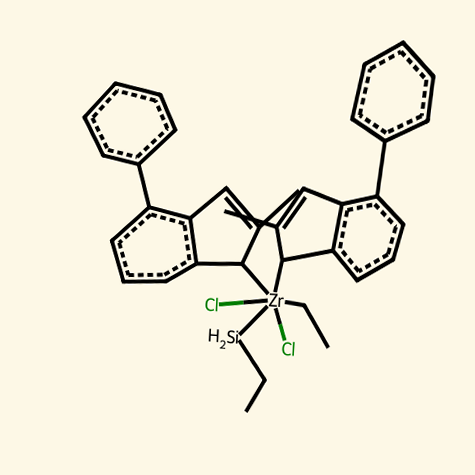 CC[SiH2][Zr]([Cl])([Cl])([CH2]C)([CH]1C(C)=Cc2c(-c3ccccc3)cccc21)[CH]1C(C)=Cc2c(-c3ccccc3)cccc21